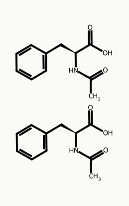 CC(=O)N[C@@H](Cc1ccccc1)C(=O)O.CC(=O)N[C@@H](Cc1ccccc1)C(=O)O